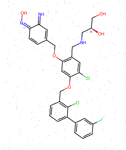 N=C1C=C(COc2cc(OCc3cccc(-c4cccc(F)c4)c3Cl)c(Cl)cc2CNC[C@H](O)CO)C=C/C1=N/O